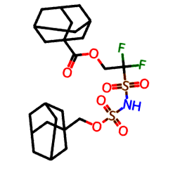 O=C(OCC(F)(F)S(=O)(=O)NS(=O)(=O)OCC12CC3CC(CC(C3)C1)C2)C12CC3CC(CC(C3)C1)C2